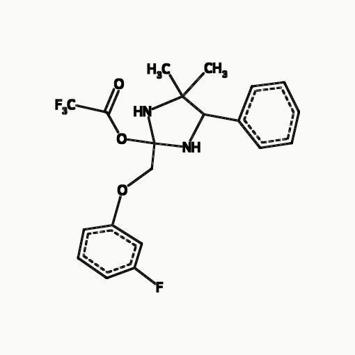 CC1(C)NC(COc2cccc(F)c2)(OC(=O)C(F)(F)F)NC1c1ccccc1